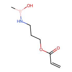 C=CC(=O)OCCCNB(C)O